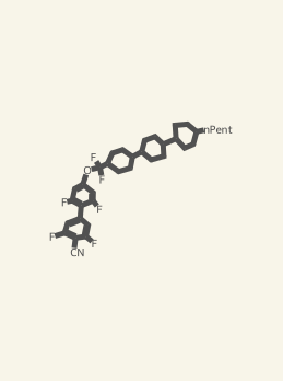 CCCCCC1CCC(C2CCC(C3CCC(C(F)(F)Oc4cc(F)c(-c5cc(F)c(C#N)c(F)c5)c(F)c4)CC3)CC2)CC1